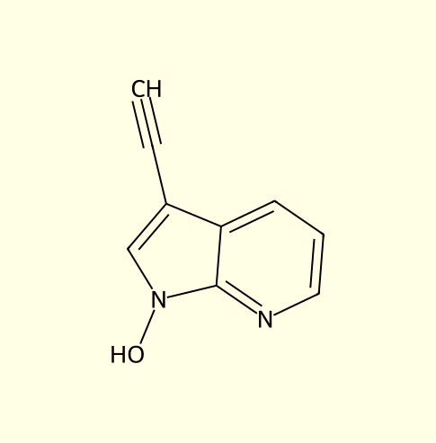 C#Cc1cn(O)c2ncccc12